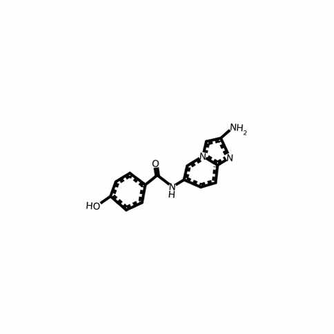 Nc1cn2cc(NC(=O)c3ccc(O)cc3)ccc2n1